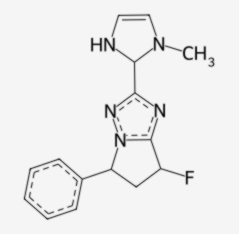 CN1C=CNC1c1nc2n(n1)C(c1ccccc1)CC2F